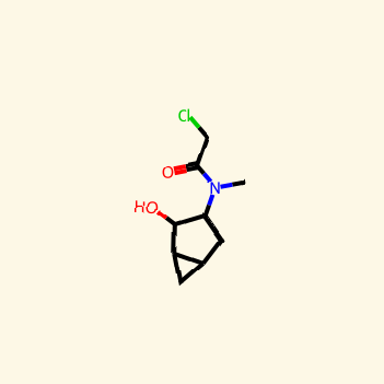 CN(C(=O)CCl)C1CC2CC2C1O